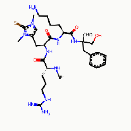 CC(C)N[C@H](CCCNC(=N)N)C(=O)N[C@@H](Cc1cn(C)c(=S)n1C)C(=O)N[C@@H](CCCCN)C(=O)NC(C=O)(CO)Cc1ccccc1